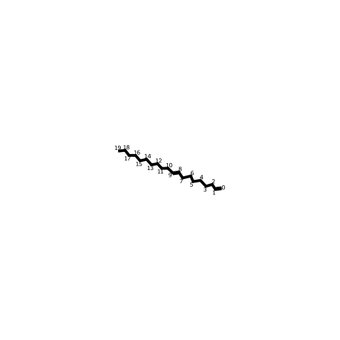 C=CCCCCCCC=CCCCCCCCCCC